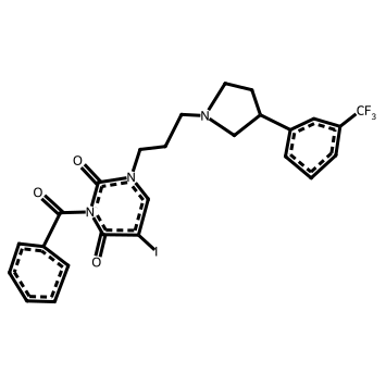 O=C(c1ccccc1)n1c(=O)c(I)cn(CCCN2CCC(c3cccc(C(F)(F)F)c3)C2)c1=O